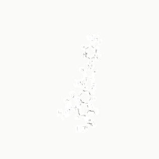 Cc1cnc(N2CC[C@@H](Nc3c(F)cc4c(=O)c(C(=O)O)cn5c4c3OC[C@@H]5C)C2)nc1